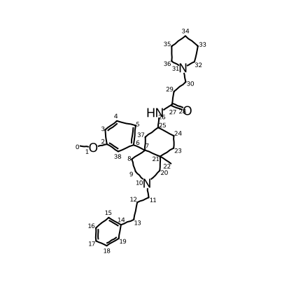 COc1cccc(C23CCN(CCCc4ccccc4)CC2(C)CCC(NC(=O)CCN2CCCCC2)C3)c1